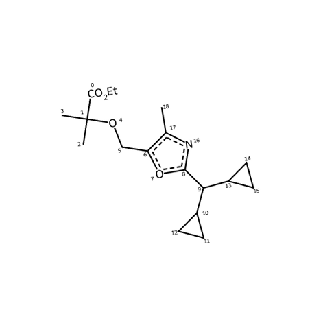 CCOC(=O)C(C)(C)OCc1oc(C(C2CC2)C2CC2)nc1C